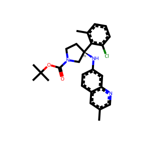 Cc1cnc2cc(N[C@]3(c4c(C)cccc4Cl)CCN(C(=O)OC(C)(C)C)C3)ccc2c1